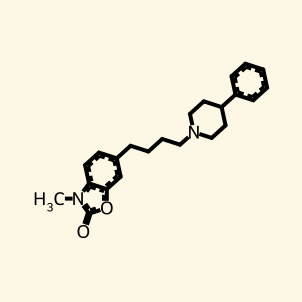 Cn1c(=O)oc2cc(CCCCN3CCC(c4ccccc4)CC3)ccc21